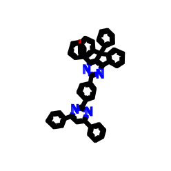 c1ccc(-c2cc(-c3ccccc3)nc(-c3ccc(-c4nc(-c5ccccc5)c5c(n4)-c4ccccc4C5(c4ccccc4)c4ccccc4)cc3)n2)cc1